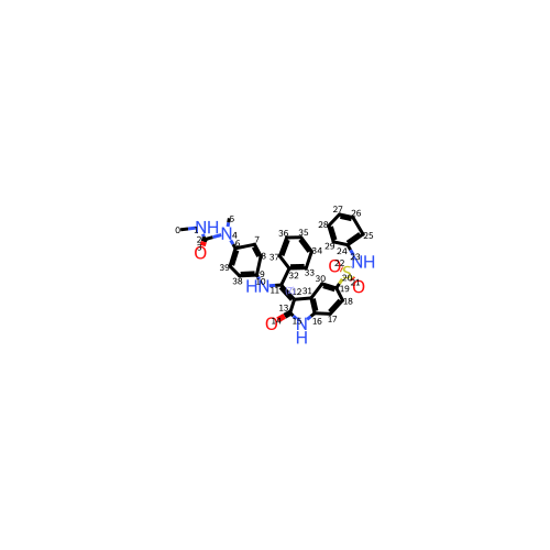 CNC(=O)N(C)c1ccc(N/C(=C2\C(=O)Nc3ccc(S(=O)(=O)Nc4ccccc4)cc32)c2ccccc2)cc1